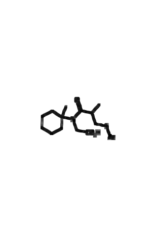 CC(=O)SCC(C)C(=O)N(CC(=O)O)C1(C)CCCCC1